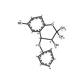 CC1(C)Oc2ccc(C#N)cc2C(Oc2ccncc2)C1O